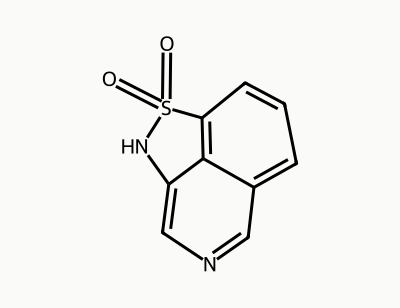 O=S1(=O)Nc2cncc3cccc1c23